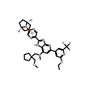 CCOc1cc(-c2cc(N(C)CC3(COC)CCCC3)c3[nH]c(-c4cnc(N5[C@@H]6CC[C@H]5C[C@H]([O])C6)cn4)nc3n2)cc(C(F)(F)F)n1